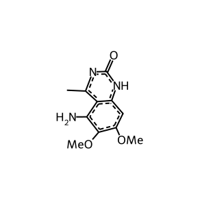 COc1cc2[nH]c(=O)nc(C)c2c(N)c1OC